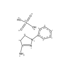 NC1=NN(c2ccccc2)CC1.O=S(=O)(O)O